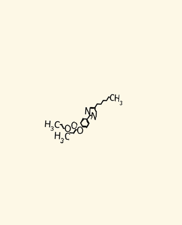 CCCCCCc1cnc(-c2ccc(OC(=O)CC(C)OCCC)cc2)nc1